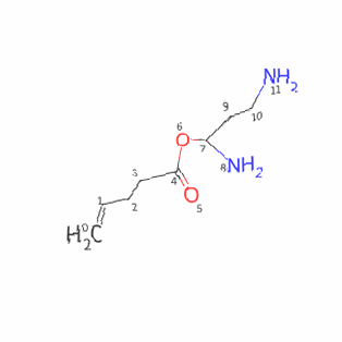 C=CCCC(=O)OC(N)CCN